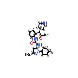 CC(=O)C(=O)C(c1ccccc1NC(=O)Nc1cc(C(C)(C)C)nn1-c1ccc(C)cc1)C1CCNCC1